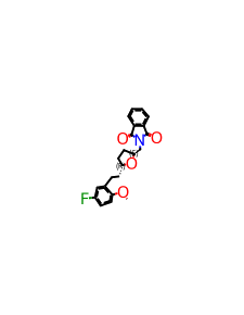 COc1ccc(F)cc1CC[C@@H]1CC[C@@H](CN2C(=O)c3ccccc3C2=O)O1